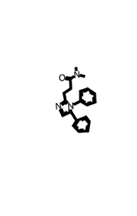 CN(C)C(=O)CCc1ncc(-c2ccccc2)n1-c1ccccc1